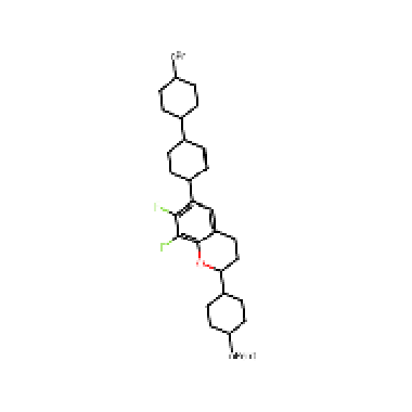 CCCCCC1CCC(C2CCc3cc(C4CCC(C5CCC(CCC)CC5)CC4)c(F)c(F)c3O2)CC1